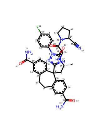 C[C@H](CC1(c2nn(-c3ccc(F)cc3)c(=O)[nH]2)c2ccc(C(N)=O)cc2CCc2cc(C(N)=O)ccc21)NCC(=O)N1CCCC1C#N